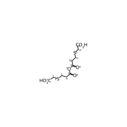 O=C(O)CSCCC(=O)OC(=O)CCSCC(=O)O